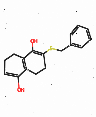 OC1=CCCC2=C1CCC(SCc1ccccc1)=C2O